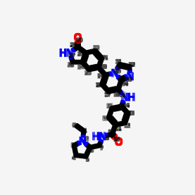 CCN1CCCC1CNC(=O)c1ccc(Nc2ccc(-c3ccc4c(c3)CNC4=O)n3ccnc23)cc1